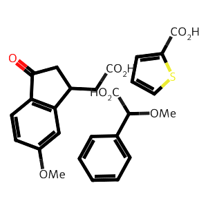 COC(C(=O)O)c1ccccc1.COc1ccc2c(c1)C(CC(=O)O)CC2=O.O=C(O)c1cccs1